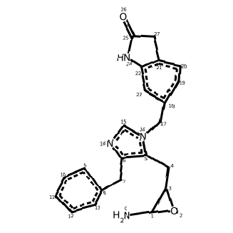 NC1OC1Cc1c(Cc2ccccc2)ncn1Cc1ccc2c(c1)NC(=O)C2